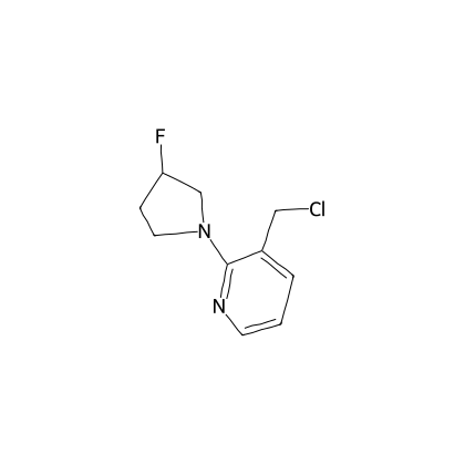 FC1CCN(c2ncccc2CCl)C1